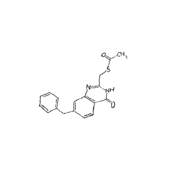 CC(=O)SCc1nc2cc(Cc3ccccc3)ccc2c(=O)[nH]1